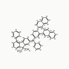 CC1(C)c2cc(N(c3ccccc3)c3cccc(-c4cc5ccccc5cc4-c4cccc5ccccc45)c3)ccc2-c2c(-c3ccccc3)cccc21